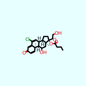 CCCC(=O)O[C@]1(C(=O)CO)CC[C@H]2[C@@H]3C=C(Cl)C4=CC(=O)C=C[C@]4(C)[C@H]3C(O)C[C@@]21C